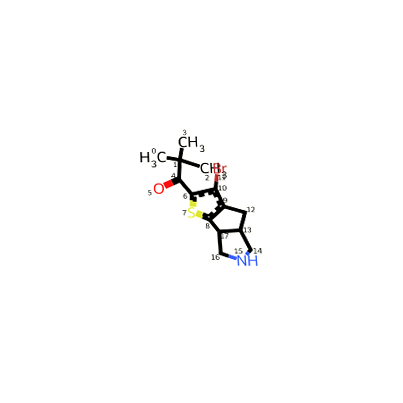 CC(C)(C)C(=O)c1sc2c(c1Br)CC1CNCC21